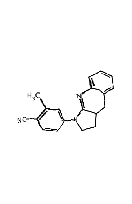 Cc1cc(N2CCC3Cc4ccccc4N=C32)ccc1C#N